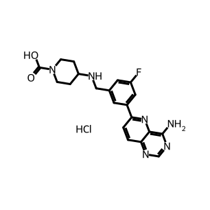 Cl.Nc1ncnc2ccc(-c3cc(F)cc(CNC4CCN(C(=O)O)CC4)c3)nc12